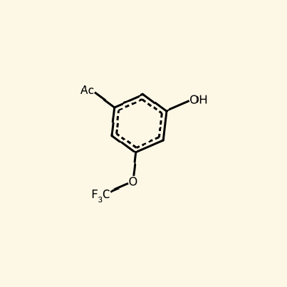 CC(=O)c1cc(O)cc(OC(F)(F)F)c1